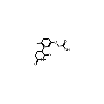 Cc1ccc(OCC(=O)O)cc1C1CCC(=O)NC1=O